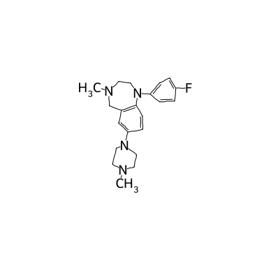 CN1CCN(c2ccc3c(c2)CN(C)CCN3c2ccc(F)cc2)CC1